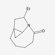 CCC1CC23CCCCC(=O)N1C2C3